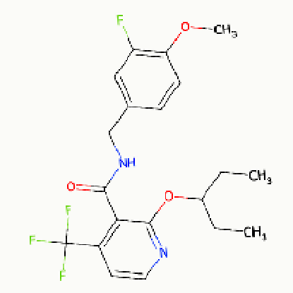 CCC(CC)Oc1nccc(C(F)(F)F)c1C(=O)NCc1ccc(OC)c(F)c1